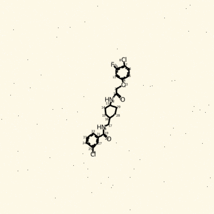 O=C(COc1ccc(Cl)c(F)c1)NC1CCC(CNC(=O)c2cccc(Cl)c2)CC1